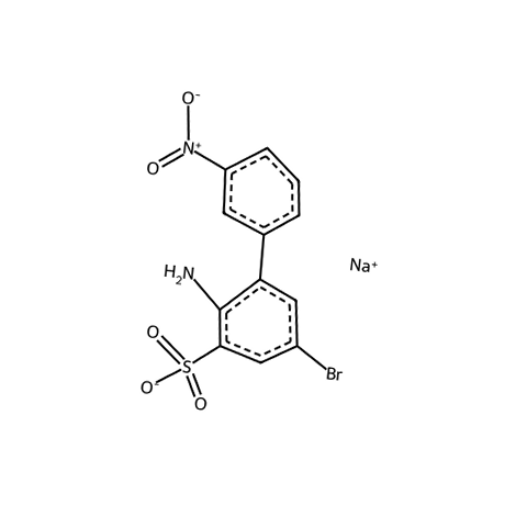 Nc1c(-c2cccc([N+](=O)[O-])c2)cc(Br)cc1S(=O)(=O)[O-].[Na+]